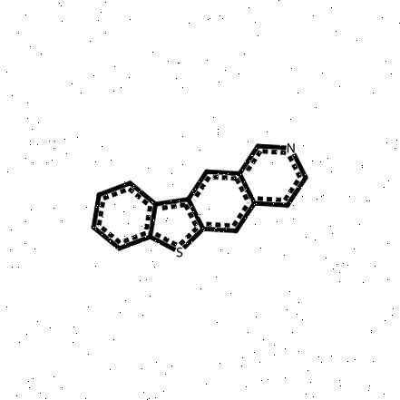 c1ccc2c(c1)sc1cc3ccncc3cc12